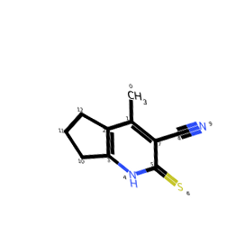 Cc1c2c([nH]c(=S)c1C#N)CCC2